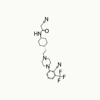 N#CCC(=O)N[C@H]1CC[C@H](CCN2CCN(c3cccc(C(F)(F)F)c3C#N)CC2)CC1